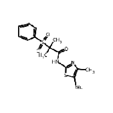 Cc1nc(NC(=O)C(C)(C)S(=O)(=O)c2ccccc2)sc1C(C)(C)C